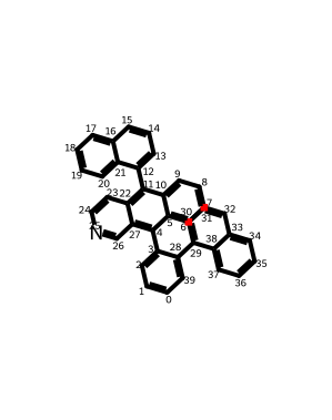 c1ccc(-c2c3ccccc3c(-c3cccc4ccccc34)c3ccncc23)c(-c2cccc3ccccc23)c1